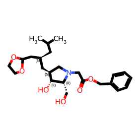 CC(C)C[C@H](CC1OCCO1)C[C@H]1CN(CC(=O)OCc2ccccc2)[C@H](CO)[C@@H]1O